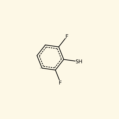 Fc1[c]ccc(F)c1S